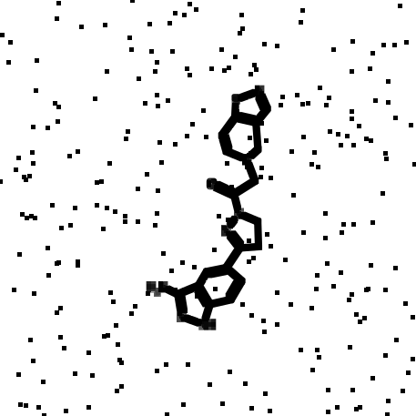 Nc1n[nH]c2ccc(C3=NN(C(=O)CN4C=Cc5sncc5C4)CC3)cc12